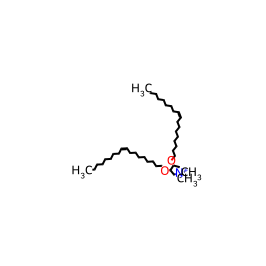 CCCCCCCC/C=C\CCCCCCCCOC1C[N+](C)(C)CC1OCCCCCCCC/C=C\CCCCCCCC